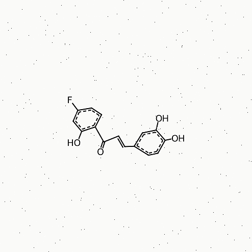 O=C(/C=C/c1ccc(O)c(O)c1)c1ccc(F)cc1O